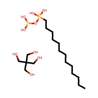 CCCCCCCCCCCCC[PH](O)(O)OP(O)O.OCC(CO)(CO)CO